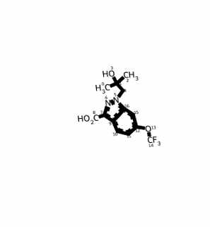 CC(C)(O)Cn1nc(C(=O)O)c2ccc(OC(F)(F)F)cc21